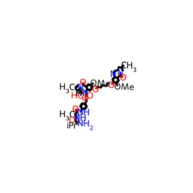 COc1cc2c(cc1OCCCCCOc1cc3c(cc1OC)C(=O)N1C=C(C)C[C@H]1[C@H](O)N3C(=O)OCc1ccc(NC(=O)[C@H](C)NC(=O)[C@@H](N)C(C)C)cc1)N=CC1CC(C)=CN1C2=O